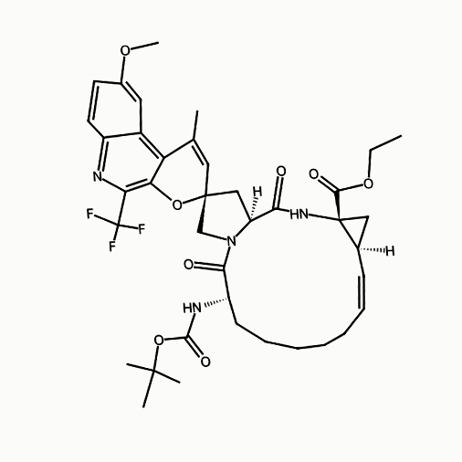 CCOC(=O)[C@@]12C[C@H]1/C=C\CCCCC[C@H](NC(=O)OC(C)(C)C)C(=O)N1C[C@@]3(C=C(C)c4c(c(C(F)(F)F)nc5ccc(OC)cc45)O3)C[C@H]1C(=O)N2